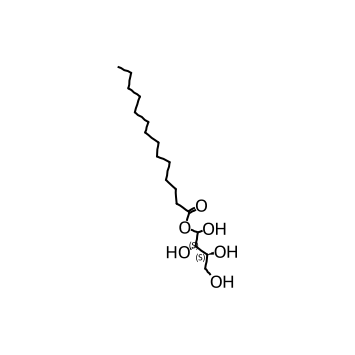 CCCCCCCCCCCCCC(=O)OC(O)[C@@H](O)[C@@H](O)CO